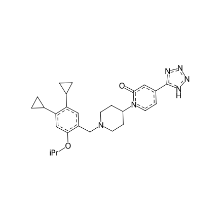 CC(C)Oc1cc(C2CC2)c(C2CC2)cc1CN1CCC(n2ccc(-c3nnn[nH]3)cc2=O)CC1